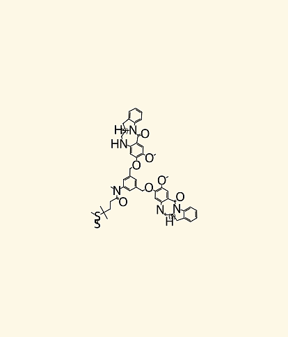 COc1cc2c(cc1OCc1cc(COc3cc4c(cc3OC)C(=O)N3c5ccccc5C[C@H]3CN4)cc(N(C)C(=O)CCC(C)(C)S(C)=S)c1)N=C[C@@H]1Cc3ccccc3N1C2=O